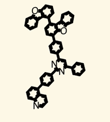 c1ccc(-c2cc(-c3ccc(-c4ccc(-c5cccc6oc7ccccc7c56)c5c4oc4ccccc45)cc3)nc(-c3ccc(-c4cccc5ncccc45)cc3)n2)cc1